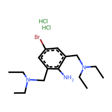 CCN(CC)Cc1cc(Br)cc(CN(CC)CC)c1N.Cl.Cl